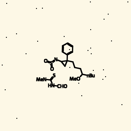 CCCCC(CCCC1(c2ccccc2)CC1N=S(=O)=O)OC.CNC(=S)NC=O